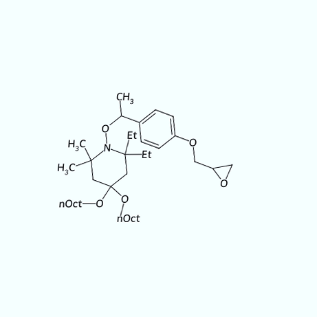 CCCCCCCCOC1(OCCCCCCCC)CC(C)(C)N(OC(C)c2ccc(OCC3CO3)cc2)C(CC)(CC)C1